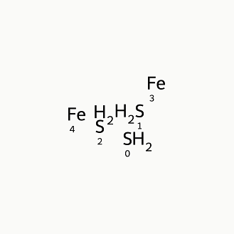 S.S.S.[Fe].[Fe]